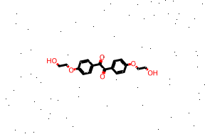 O=C(C(=O)c1ccc(OCCO)cc1)c1ccc(OCCO)cc1